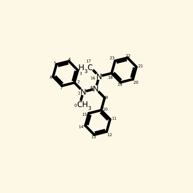 CN(c1ccccc1)N(Cc1ccccc1)N(C)c1ccccc1